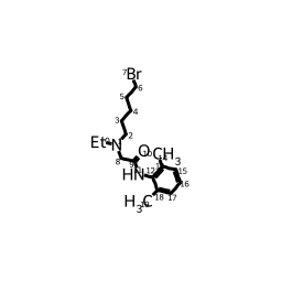 CCN(CCCCCBr)CC(=O)Nc1c(C)cccc1C